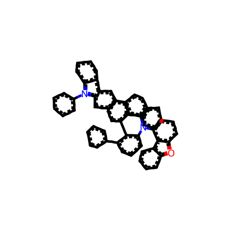 c1ccc(-c2ccccc2-c2c(-c3ccccc3)cccc2N(c2cccc(-c3ccc4c(c3)c3ccccc3n4-c3ccccc3)c2)c2cccc3oc4ccccc4c23)cc1